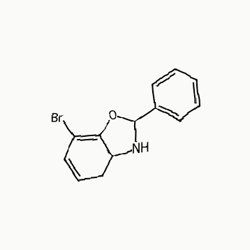 BrC1=C2OC(c3ccccc3)NC2CC=C1